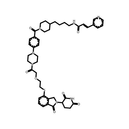 O=C(/C=C/c1cccnc1)NCCCCC1CCN(C(=O)c2ccc(N3CCN(C(=O)COCCSc4cccc5c4CN(C4CCC(=O)NC4=O)C5=O)CC3)cc2)CC1